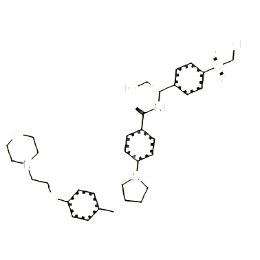 CCS(=O)(=O)c1ccc([C@H](CO)NC(=O)c2ccc(N3CC[C@H](Cc4ccc(OCCN5CCOCC5)cc4)C3)cc2)cc1